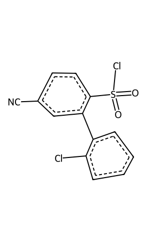 N#Cc1ccc(S(=O)(=O)Cl)c(-c2ccccc2Cl)c1